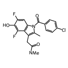 CNC(=O)Cc1c(C)n(C(=O)c2ccc(Cl)cc2)c2cc(F)c(O)c(F)c12